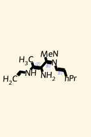 C=CN/C(C)=C(N)/C(=N\C=C\CCC)NC